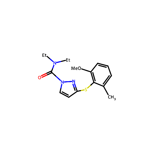 CCN(CC)C(=O)n1ccc(Sc2c(C)cccc2OC)n1